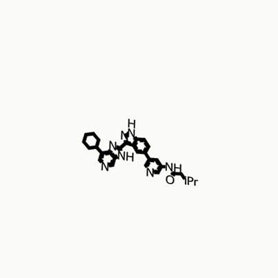 CC(C)CC(=O)Nc1cncc(-c2ccc3[nH]nc(-c4nc5c(C6CCCCC6)cncc5[nH]4)c3c2)c1